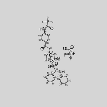 CC(C)(C)C(=O)Nc1ccc(C(=O)C[N+]23CCC(CC2)[C@@H](OC(=O)[C@H](Nc2ccccc2)c2ccccc2)C3)cc1.O=C([O-])C(F)(F)F